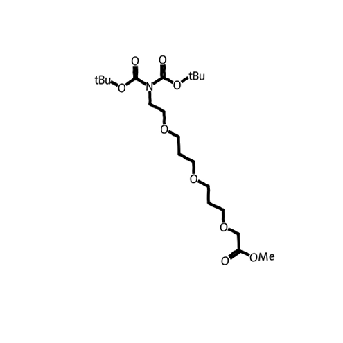 COC(=O)COCCCOCCCOCCN(C(=O)OC(C)(C)C)C(=O)OC(C)(C)C